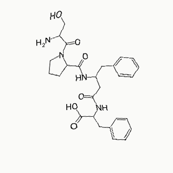 NC(CO)C(=O)N1CCCC1C(=O)NC(CC(=O)NC(Cc1ccccc1)C(=O)O)Cc1ccccc1